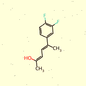 C/C(O)=C/C=C(\C)c1ccc(F)c(F)c1